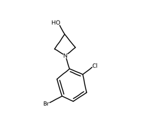 OC1CN(c2cc(Br)ccc2Cl)C1